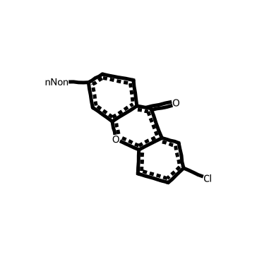 CCCCCCCCCc1ccc2c(=O)c3cc(Cl)ccc3oc2c1